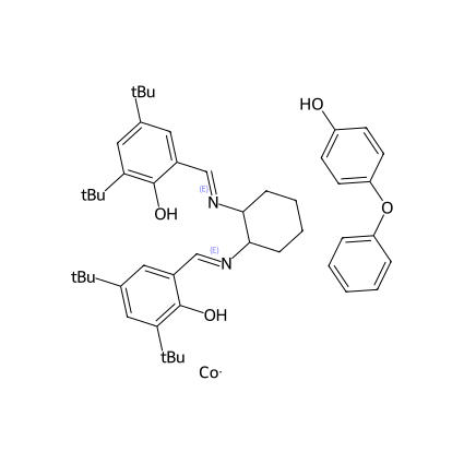 CC(C)(C)c1cc(/C=N/C2CCCCC2/N=C/c2cc(C(C)(C)C)cc(C(C)(C)C)c2O)c(O)c(C(C)(C)C)c1.Oc1ccc(Oc2ccccc2)cc1.[Co]